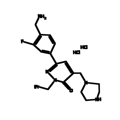 CC(C)Cn1nc(-c2ccc(CN)c(F)c2)cc(CN2CCNCC2)c1=O.Cl.Cl